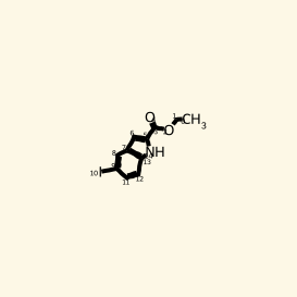 CCOC(=O)c1cc2cc(I)ccc2[nH]1